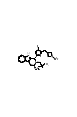 CCCN1CC(Cc2sc([C@@H]3c4[nH]c5ccccc5c4C[C@@H](C)N3CC(C)(C)F)cc2F)C1